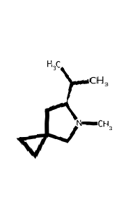 CC(C)[C@@H]1CC2(CC2)CN1C